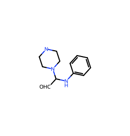 O=CC(Nc1ccccc1)N1CC[N]CC1